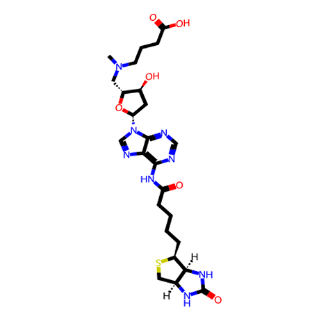 CN(CCCC(=O)O)C[C@H]1O[C@@H](n2cnc3c(NC(=O)CCCC[C@@H]4SC[C@@H]5NC(=O)N[C@@H]54)ncnc32)C[C@@H]1O